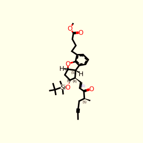 CC#CC[C@H](C)C(=O)/C=C/[C@@H]1[C@H]2c3cccc(CCCC(=O)OC)c3O[C@H]2C[C@H]1O[Si](C)(C)C(C)(C)C